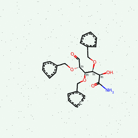 NC(=O)[C@H](O)[C@H](OCc1ccccc1)[C@@H](OCc1ccccc1)[C@@H](C=O)OCc1ccccc1